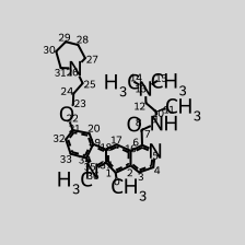 Cc1c2ccnc(C(=O)N[C@H](C)CN(C)C)c2cc2c3cc(OCCCN4CCCCC4)ccc3n(C)c12